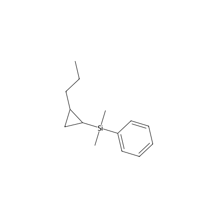 CCCC1CC1[Si](C)(C)c1ccccc1